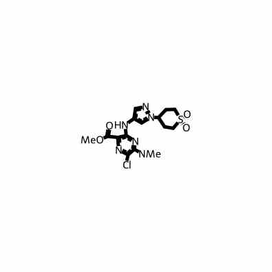 CNc1nc(Nc2cnn(C3CCS(=O)(=O)CC3)c2)c(C(=O)OC)nc1Cl